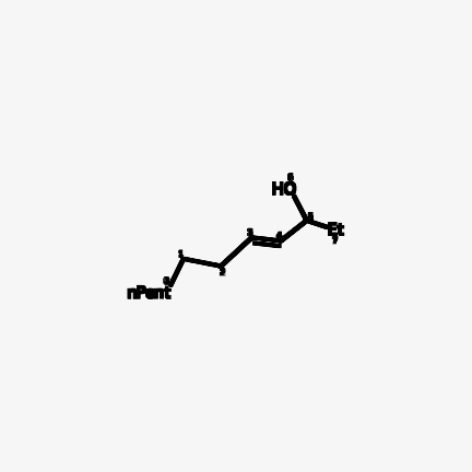 CCCCCCC/C=C/C(O)CC